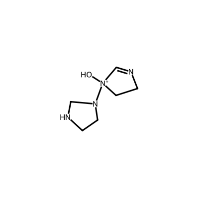 O[N+]1(N2CCNC2)C=NCC1